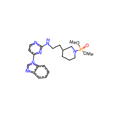 COP(=O)(OC)N1CCCC(CCNc2nccc(-n3cnc4ccccc43)n2)C1